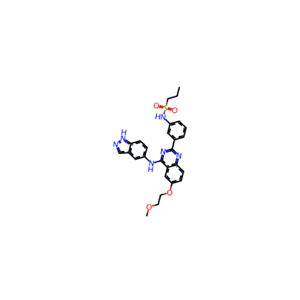 CCCS(=O)(=O)Nc1cccc(-c2nc(Nc3ccc4[nH]ncc4c3)c3cc(OCCOC)ccc3n2)c1